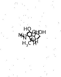 CN1CC[C@]23c4c5c(N=[N+]=[N-])cc(O)c4O[C@H]2[C@@H](O)C=C[C@H]3[C@H]1C5